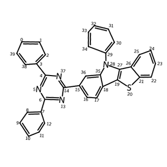 c1ccc(-c2nc(-c3ccccc3)nc(-c3ccc4c5sc6ccccc6c5n(-c5ccccc5)c4c3)n2)cc1